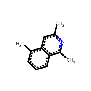 Cc1cc2c(C)cccc2c(C)n1